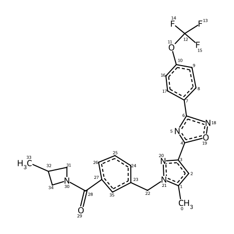 Cc1cc(-c2nc(-c3ccc(OC(F)(F)F)cc3)no2)nn1Cc1cccc(C(=O)N2CC(C)C2)c1